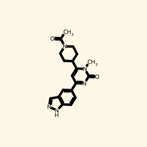 CC(=O)N1CCC(c2cc(-c3ccc4[nH]ncc4c3)nc(=O)n2C)CC1